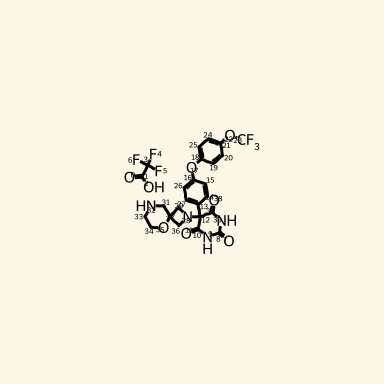 O=C(O)C(F)(F)F.O=C1NC(=O)C(c2ccc(Oc3ccc(OC(F)(F)F)cc3)cc2)(N2CC3(CNCCO3)C2)C(=O)N1